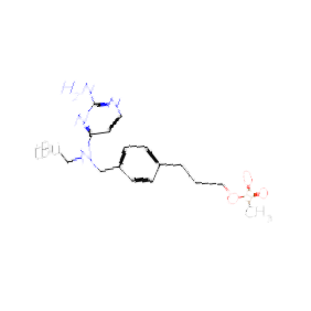 CC(C)(C)CN(Cc1ccc(CCCOS(C)(=O)=O)cc1)c1ccnc(N)n1